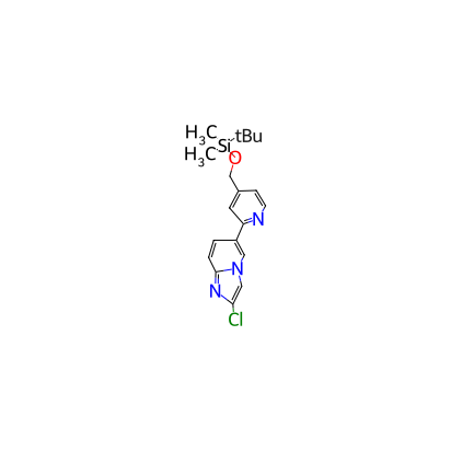 CC(C)(C)[Si](C)(C)OCc1ccnc(-c2ccc3nc(Cl)cn3c2)c1